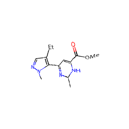 CCc1cnn(C)c1C1=NC(C)NC(C(=O)OC)=C1